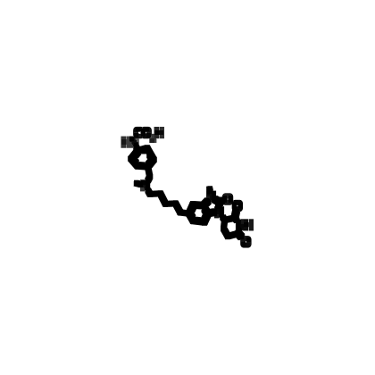 CN(CCCCCc1ccc2c(c1)n(C)c(=O)n2C1CCC(=O)NC1=O)Cc1ccc(NC(=O)O)cc1